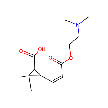 CN(C)CCOC(=O)/C=C\C1C(C(=O)O)C1(C)C